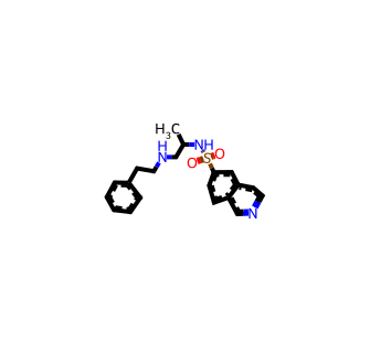 CC(CNCCc1ccccc1)NS(=O)(=O)c1ccc2cnccc2c1